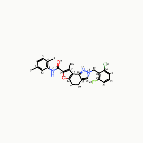 Cc1ccc(C)c(NC(=O)c2oc3c(c2C)-c2nn(Cc4c(F)cccc4Cl)cc2CC3)c1